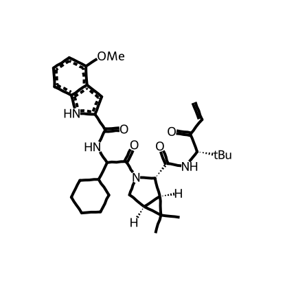 C=CC(=O)[C@@H](NC(=O)[C@@H]1[C@@H]2[C@H](CN1C(=O)C(NC(=O)c1cc3c(OC)cccc3[nH]1)C1CCCCC1)C2(C)C)C(C)(C)C